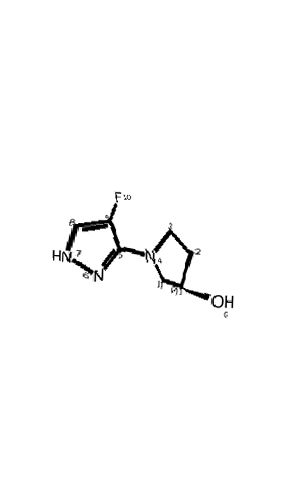 O[C@@H]1CCN(c2n[nH]cc2F)C1